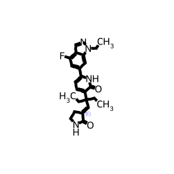 CCn1ncc2c(F)cc(-c3ccc(C(/C=C4\CCNC4=O)(CC)CC)c(=O)[nH]3)cc21